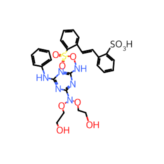 O=S(=O)(O)c1ccccc1C=Cc1ccccc1S(=O)(=O)ONc1nc(Nc2ccccc2)nc(N(OCCO)OCCO)n1